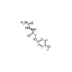 COc1ccc(OCC(=O)NNC(N)=S)cc1